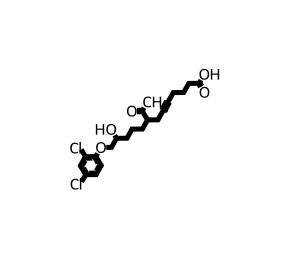 CC(=O)C(CC#CCCCC(=O)O)CCCC(O)COc1ccc(Cl)cc1Cl